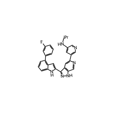 CC(C)Nc1cncc(-c2cc3c(-c4cc5c(-c6cccc(F)c6)cccc5[nH]4)n[nH]c3cn2)c1